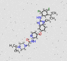 CC(C)c1cc(Nc2nc3cc(Oc4ccnc(NC(=O)CN5CCN(C(C)C)CC5)c4)ccc3n2C)c(F)cc1F